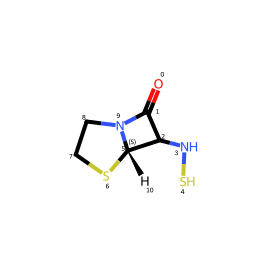 O=C1C(NS)[C@@H]2SCCN12